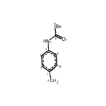 [CH2]c1ccc(NC(=O)C(C)(C)C)cc1